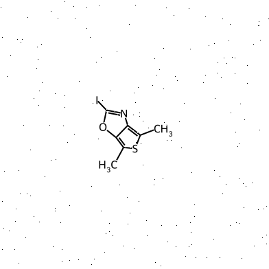 Cc1sc(C)c2oc(I)nc12